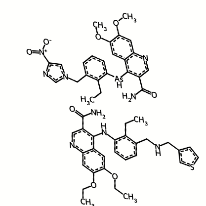 CCOc1cc2ncc(C(N)=O)c(Nc3cccc(CNCc4ccsc4)c3CC)c2cc1OCC.CCc1c(Cn2cnc([N+](=O)[O-])c2)cccc1[AsH]c1c(C(N)=O)cnc2cc(OC)c(OC)cc12